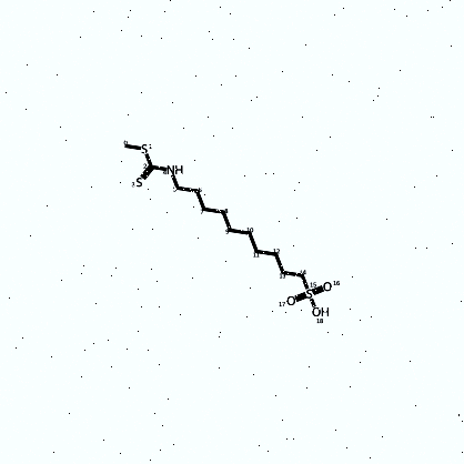 CSC(=S)NCCCCCCCCCCS(=O)(=O)O